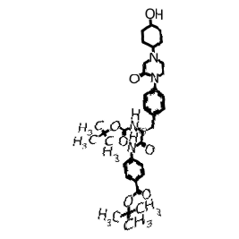 CC(C)(C)OC(=O)N[C@@H](Cc1ccc(N2CCN(C3CCC(O)CC3)CC2=O)cc1)C(=O)Nc1ccc(C(=O)OC(C)(C)C)cc1